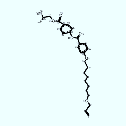 C=CCOCCCCCCCCOc1ccc(C(=O)Oc2ccc(C(=O)OCC(F)CCCC)cc2)cc1